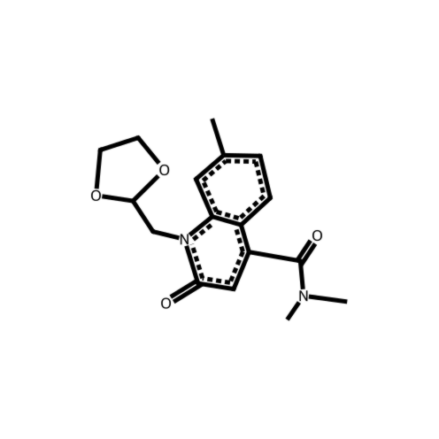 Cc1ccc2c(C(=O)N(C)C)cc(=O)n(CC3OCCO3)c2c1